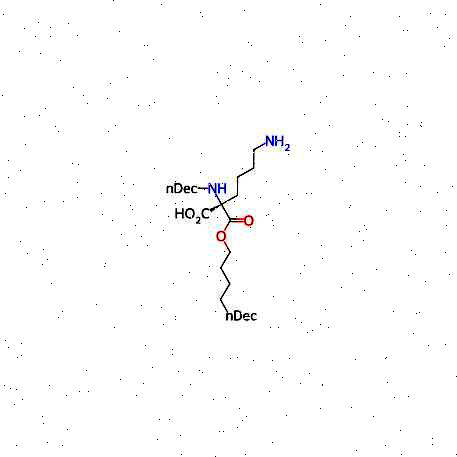 CCCCCCCCCCCCCCOC(=O)[C@@](CCCCN)(NCCCCCCCCCC)C(=O)O